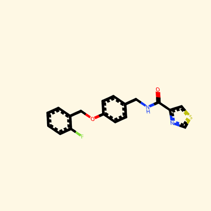 O=C(NCc1ccc(OCc2ccccc2F)cc1)c1cscn1